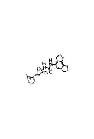 CN1CCCC1/C=C/S(=O)(=O)NC(=O)Nc1cc2c(c3c1CCC3)CCC2